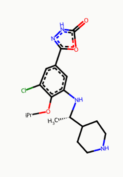 CC(C)Oc1c(Cl)cc(-c2n[nH]c(=O)o2)cc1N[C@@H](C)C1CCNCC1